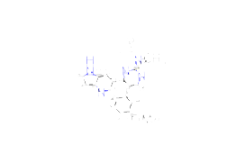 COc1ccc(-c2nc3cc[nH]c3cc2-c2ccnc(N(C)C3CC3)n2)cc1